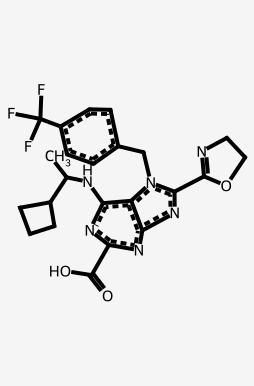 CC(Nc1nc(C(=O)O)nc2nc(C3=NCCO3)n(Cc3ccc(C(F)(F)F)cc3)c12)C1CCC1